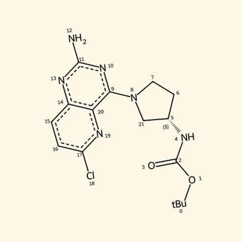 CC(C)(C)OC(=O)N[C@H]1CCN(c2nc(N)nc3ccc(Cl)nc23)C1